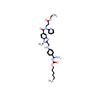 CCCCCCOC(=O)/N=C(\N)c1ccc(NCC2=NC3C=C(C(=O)N(CCC(=O)OCC)c4ccccn4)C=CC3N2C)cc1